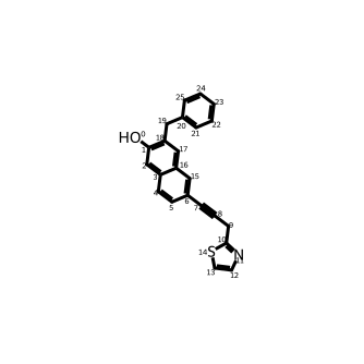 Oc1cc2ccc(C#CCc3nccs3)cc2cc1Cc1ccccc1